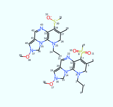 CCCN1CC(C)=C(S(C)(=O)=O)C2=C1N1CN(OC)C=C1C=N2.CCN1CC(C)=C([S+](C)[O-])C2=C1N1CN(OC)C=C1C=N2